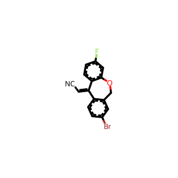 N#CC=C1c2ccc(Br)cc2COc2cc(F)ccc21